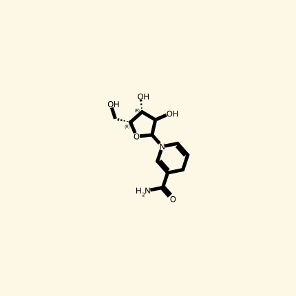 NC(=O)C1=CN(C2O[C@H](CO)[C@H](O)C2O)C=CC1